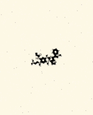 C=CC(=O)Nc1cc(N(C)c2nc(-c3cn(C)c4ccccc34)c3sccc3n2)c(OC)cc1N(C)CCN(C)C